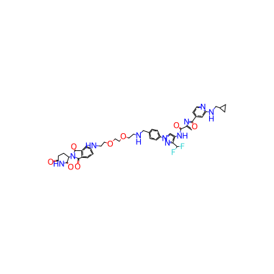 O=C1CCC(N2C(=O)c3ccc(NCCOCCOCCNCc4ccc(-n5cc(NC(=O)c6coc(-c7ccnc(NCC8CC8)c7)n6)c(C(F)F)n5)cc4)cc3C2=O)C(=O)N1